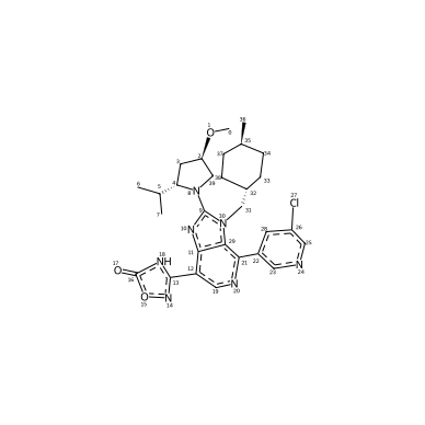 CO[C@@H]1C[C@@H](C(C)C)N(c2nc3c(-c4noc(=O)[nH]4)cnc(-c4cncc(Cl)c4)c3n2C[C@H]2CC[C@H](C)CC2)C1